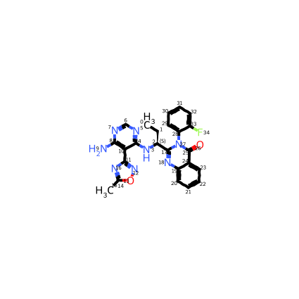 CC[C@H](Nc1ncnc(N)c1-c1noc(C)n1)c1nc2ccccc2c(=O)n1-c1ccccc1F